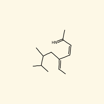 C/C=C(\C=C/C(C)=N)CC(C)C(C)C